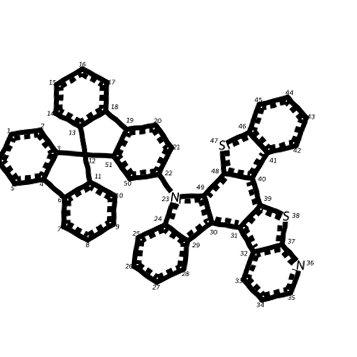 c1ccc2c(c1)-c1ccccc1C21c2ccccc2-c2ccc(-n3c4ccccc4c4c5c6cccnc6sc5c5c6ccccc6sc5c43)cc21